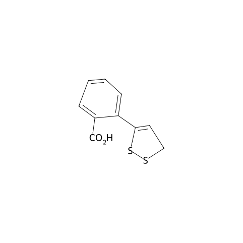 O=C(O)c1ccccc1C1=CCSS1